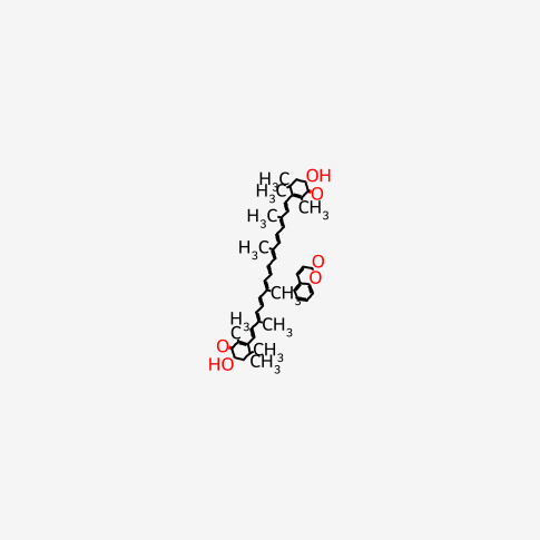 CC1=C(/C=C/C(C)=C/C=C/C(C)=C/C=C/C=C(C)/C=C/C=C(C)/C=C/C2=C(C)C(=O)C(O)CC2(C)C)C(C)(C)CC(O)C1=O.O=c1ccc2ccccc2o1